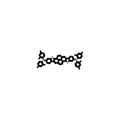 Cc1ccc(N(c2ccc3c(c2)sc2c3cc3ccc4c5sc6cc(N(c7ccc(C)cc7C)c7ccc(C)cc7C)ccc6c5cc5ccc2c3c54)c2ccc(C)cc2C)c(C)c1